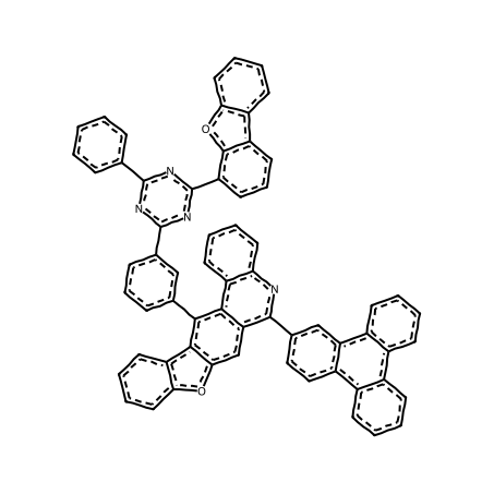 c1ccc(-c2nc(-c3cccc(-c4c5c(cc6c(-c7ccc8c9ccccc9c9ccccc9c8c7)nc7ccccc7c46)oc4ccccc45)c3)nc(-c3cccc4c3oc3ccccc34)n2)cc1